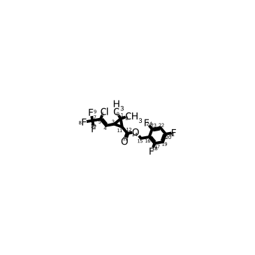 CC1(C)C(/C=C(\Cl)C(F)(F)F)C1C(=O)OCc1c(F)cc(F)cc1F